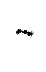 Cc1cc(OCc2ccc(Oc3ccc(Cl)c(C(F)(F)F)c3)cc2)nc2nccn12